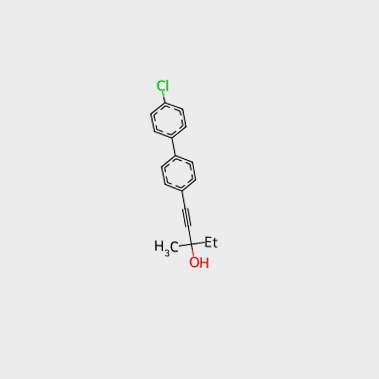 CCC(C)(O)C#Cc1ccc(-c2ccc(Cl)cc2)cc1